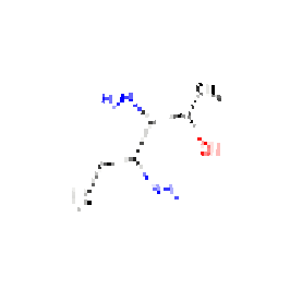 CCC(N)C(N)C(C)O